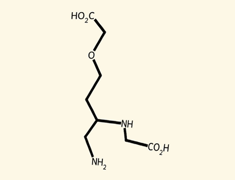 NCC(CCOCC(=O)O)NCC(=O)O